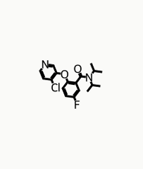 CC(C)N(C(=O)c1cc(F)ccc1Oc1cnccc1Cl)C(C)C